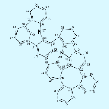 c1ccc2c(c1)-c1ccccc1-c1ccc3c4cccc5c6c(ccc7c8cccc9c%10ccccc%10n(c98)c76)n(c3c1-c1ccccc1-2)c45